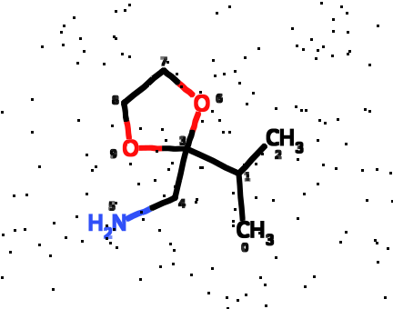 CC(C)C1(CN)OCCO1